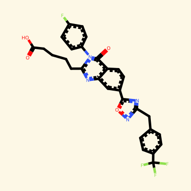 O=C(O)CCCCc1nc2cc(-c3nc(Cc4ccc(C(F)(F)F)cc4)no3)ccc2c(=O)n1-c1ccc(F)cc1